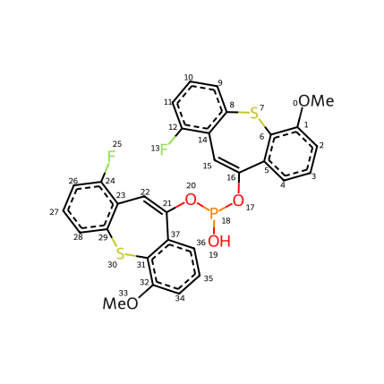 COc1cccc2c1Sc1cccc(F)c1C=C2OP(O)OC1=Cc2c(F)cccc2Sc2c(OC)cccc21